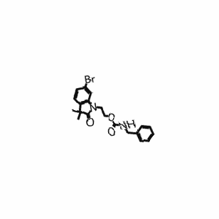 CC1(C)C(=O)N(CCOC(=O)NCc2ccccc2)c2cc(Br)ccc21